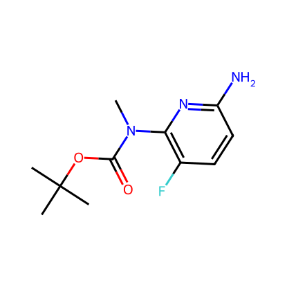 CN(C(=O)OC(C)(C)C)c1nc(N)ccc1F